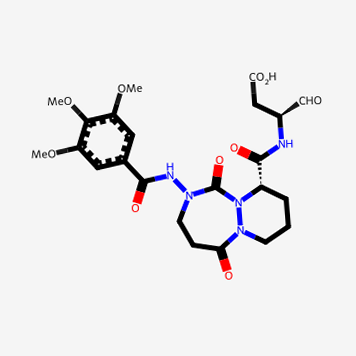 COc1cc(C(=O)NN2CCC(=O)N3CCC[C@@H](C(=O)N[C@H](C=O)CC(=O)O)N3C2=O)cc(OC)c1OC